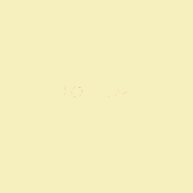 CCC(C)(CCC(C)NC1=NC(=O)C(C(C)C)S1)c1ccc(S(C)(=O)=O)cc1